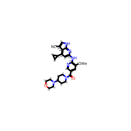 COc1cc(C(=O)N2CCC(N3CCOCC3)CC2)cnc1Nc1cc(C2CC2)c2c(C#N)c[nH]c2n1